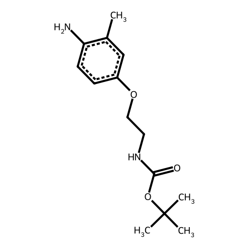 Cc1cc(OCCNC(=O)OC(C)(C)C)ccc1N